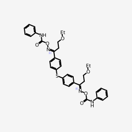 CCOCC/C(=N\OC(=O)Nc1ccccc1)c1ccc(Sc2ccc(/C(CCOCC)=N/OC(=O)Nc3ccccc3)cc2)cc1